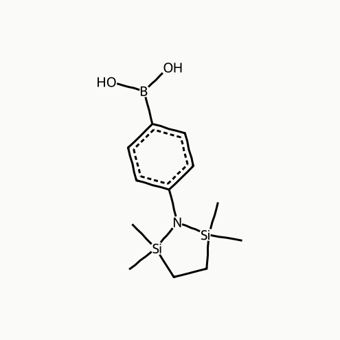 C[Si]1(C)CC[Si](C)(C)N1c1ccc(B(O)O)cc1